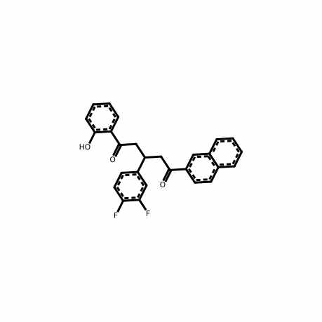 O=C(CC(CC(=O)c1ccccc1O)c1ccc(F)c(F)c1)c1ccc2ccccc2c1